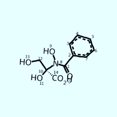 O=C(c1ccccc1)N(O)[C@@](O)(CO)C(=O)O